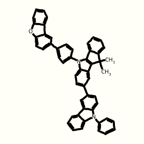 CC1(C)c2ccccc2-c2c1c1cc(-c3ccc4c(c3)c3ccccc3n4-c3ccccc3)ccc1n2-c1ccc(-c2ccc3oc4ccccc4c3c2)cc1